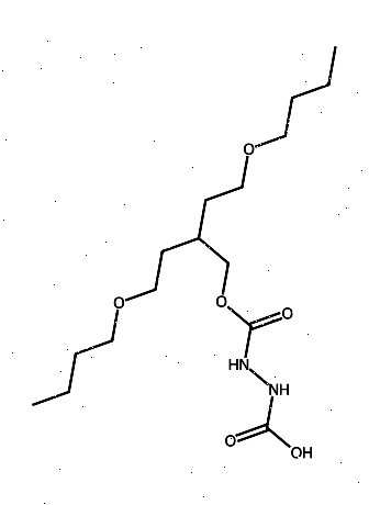 CCCCOCCC(CCOCCCC)COC(=O)NNC(=O)O